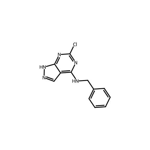 Clc1nc(NCc2ccccc2)c2cn[nH]c2n1